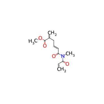 C=CC(=O)N(C)C(=O)C=CCC(=C)C(=O)OC